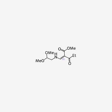 CCC(=O)/C(=C/NCC(OC)OC)C(=O)OC